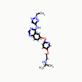 CCn1ncc(Nc2ncnc3ccc(Oc4ccc(OCCNC(C)C)cn4)cc23)n1